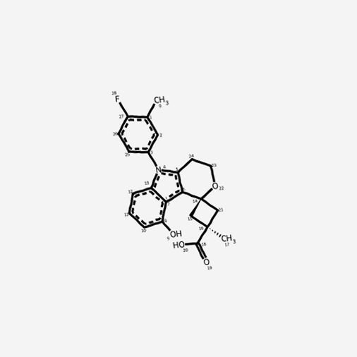 Cc1cc(-n2c3c(c4c(O)cccc42)[C@]2(C[C@](C)(C(=O)O)C2)OCC3)ccc1F